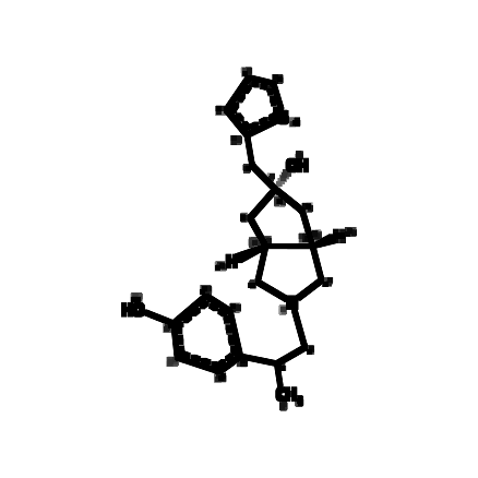 CC(CN1C[C@@H]2C[C@@](O)(Cc3cccs3)C[C@@H]2C1)c1ccc(O)cc1